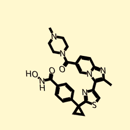 Cc1nc2ccc(C(=O)N3CCN(C)CC3)cn2c1-c1csc(C2(c3ccc(C(=O)NO)cc3)CC2)n1